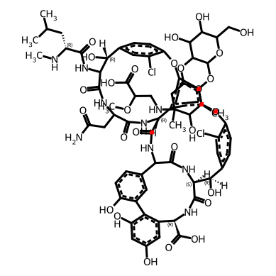 CN[C@H](CC(C)C)C(=O)NC1C(=O)NC(CC(N)=O)C(=O)N[C@H]2C(=O)NC3C(=O)N[C@H](C(=O)N[C@@H](C(=O)O)c4cc(O)cc(O)c4-c4cc3ccc4O)[C@H](O)c3ccc(c(Cl)c3)Oc3cc2cc(c3OC2OC(CO)C(O)C(O)C2OC2CC(C)(NCC(OC)C(=O)O)C(O)C(C)O2)Oc2ccc(cc2Cl)[C@H]1O